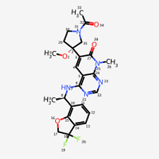 CO[C@]1(c2cc3c(N[C@H](C)c4cccc5c4OCC5(F)F)ncnc3n(C)c2=O)CCN(C(C)=O)C1